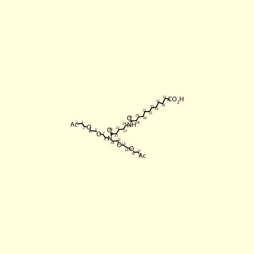 CC(=O)CCOCCOCCN(CCOCCOCCC(C)=O)C(=O)CCCCNC(=O)CCCCCCCCCCC(=O)O